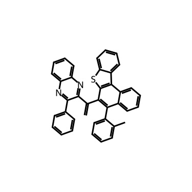 C=C(c1nc2ccccc2nc1-c1ccccc1)c1c(-c2ccccc2C)c2ccccc2c2c1sc1ccccc12